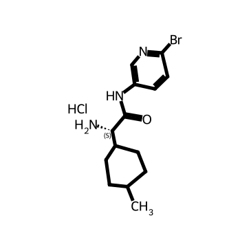 CC1CCC([C@H](N)C(=O)Nc2ccc(Br)nc2)CC1.Cl